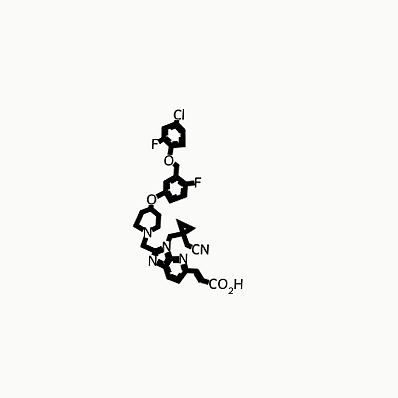 N#CCC1(Cn2c(CN3CCC(Oc4ccc(F)c(COc5ccc(Cl)cc5F)c4)CC3)nc3ccc(/C=C/C(=O)O)nc32)CC1